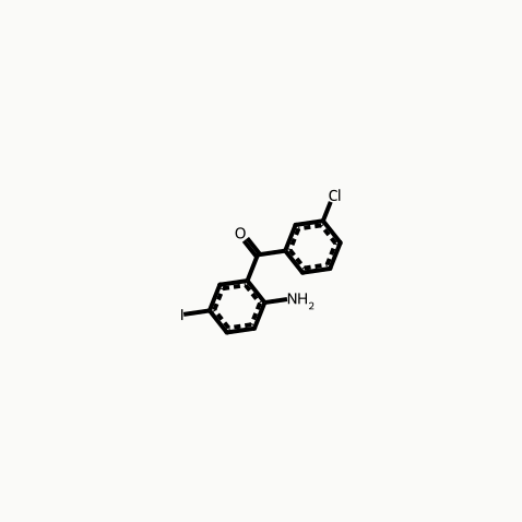 Nc1ccc(I)cc1C(=O)c1cccc(Cl)c1